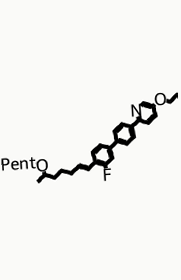 C=CCOc1ccc(-c2ccc(-c3ccc(/C=C/CCCC(C)OCCCCC)c(F)c3)cc2)nc1